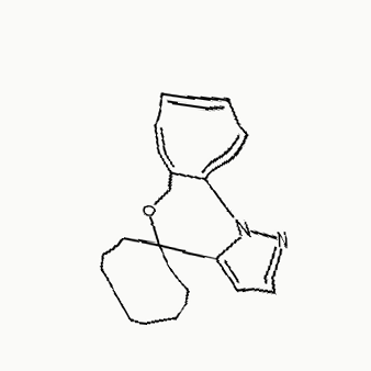 c1ccc2c(c1)OC1(CCCCC1)c1ccnn1-2